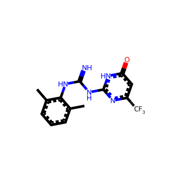 Cc1cccc(C)c1NC(=N)Nc1nc(C(F)(F)F)cc(=O)[nH]1